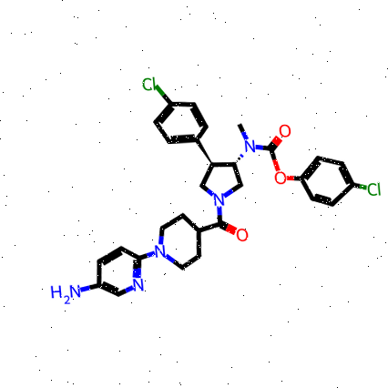 CN(C(=O)Oc1ccc(Cl)cc1)[C@@H]1CN(C(=O)C2CCN(c3ccc(N)cn3)CC2)C[C@H]1c1ccc(Cl)cc1